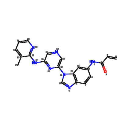 C=CC(=O)Nc1ccc2ncn(-c3cncc(Nc4ncccc4C)n3)c2c1